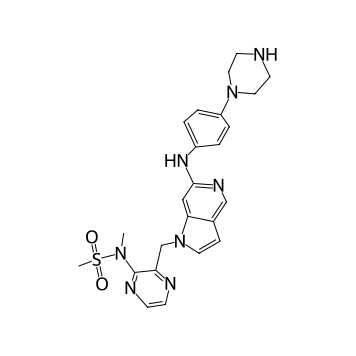 CN(c1nccnc1Cn1ccc2cnc(Nc3ccc(N4CCNCC4)cc3)cc21)S(C)(=O)=O